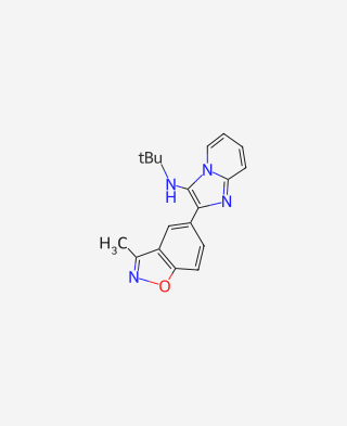 Cc1noc2ccc(-c3nc4ccccn4c3NC(C)(C)C)cc12